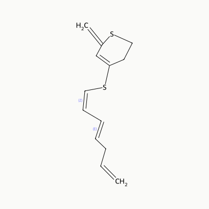 C=CC/C=C/C=C\SC1=CC(=C)SCC1